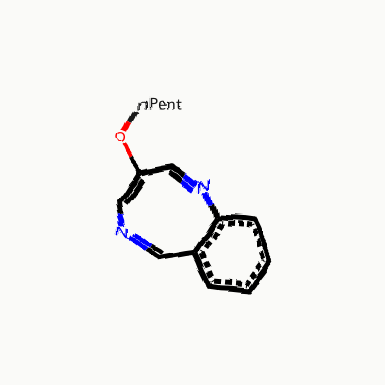 CCCCCOC1=C/N=C\c2ccccc2/N=C\1